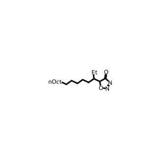 CCCCCCCCCCCCCC(CC)C1ON=NC1=O